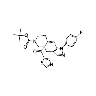 CC(C)(C)OC(=O)N1CCC2=Cc3c(cnn3-c3ccc(F)cc3)CC2(C(=O)c2cncs2)C1